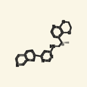 C[C@H](CNc1cc(-c2ccc3ccncc3c2)ncn1)c1ccnc2c1OCCO2